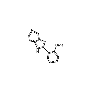 COc1ccccc1-c1cc2cnccc2[nH]1